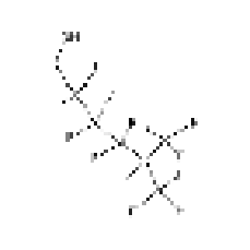 OCC(F)(F)C(F)(F)C(F)(F)C(F)(C(F)(F)F)C(F)(F)F